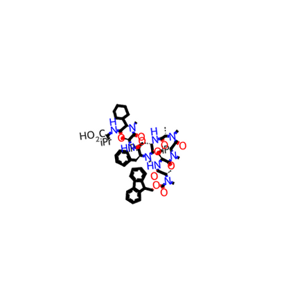 CC(C)C[C@H](NC(=O)[C@H](C)N(C)C(=O)OCC1c2ccccc2-c2ccccc21)C(=O)N(C)CC(=O)N(C)[C@@H](C)C(=O)N[C@@H](CC(C)C)C(=O)N(C)[C@@H](Cc1ccccc1)C(=O)N[C@@H](C)C(=O)N(C)[C@H](C(=O)N[C@@H](C(=O)O)C(C)C)C1CCCCC1